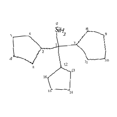 [SiH3]C(C1CCCC1)(C1CCCC1)C1CCCC1